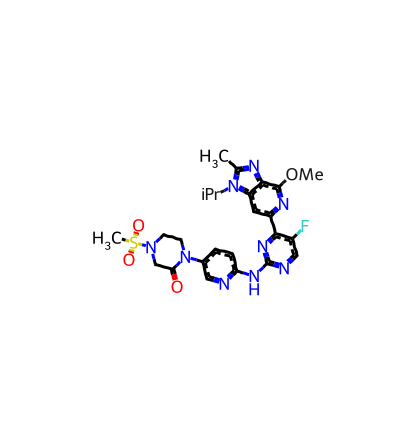 COc1nc(-c2nc(Nc3ccc(N4CCN(S(C)(=O)=O)CC4=O)cn3)ncc2F)cc2c1nc(C)n2C(C)C